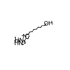 CN1C=C(CCCCCCCCO)C=CC1C1=CCNN1